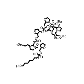 CCCCCCCCCCCCN1CCN(C)C1=NP(=O)(OCC1OCC[C@H]1OP(=O)(N=C1N(C)CCN1CCCCCCCCCCCC)OCC1OCC[C@H]1OP(=O)(N=C1N(C)CCN1CCCCCCCCCCCC)OC(C)(C)C)O[C@@H]1CCOC1COP(=O)(O)OCCCCCCO